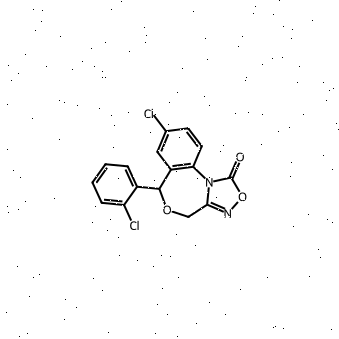 O=c1onc2n1-c1ccc(Cl)cc1C(c1ccccc1Cl)OC2